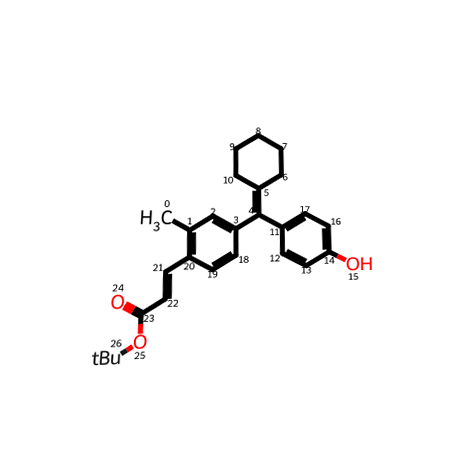 Cc1cc(C(=C2CCCCC2)c2ccc(O)cc2)ccc1/C=C/C(=O)OC(C)(C)C